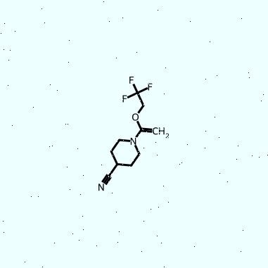 C=C(OCC(F)(F)F)N1CCC(C#N)CC1